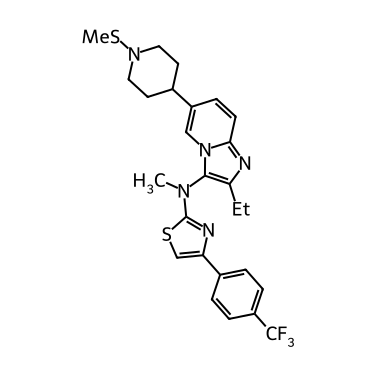 CCc1nc2ccc(C3CCN(SC)CC3)cn2c1N(C)c1nc(-c2ccc(C(F)(F)F)cc2)cs1